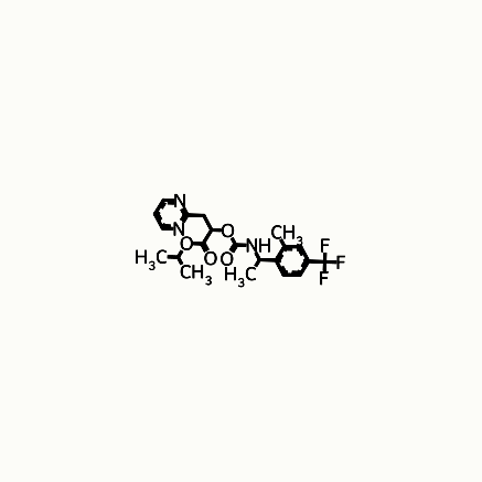 Cc1cc(C(F)(F)F)ccc1C(C)NC(=O)OC(Cc1ncccn1)C(=O)OC(C)C